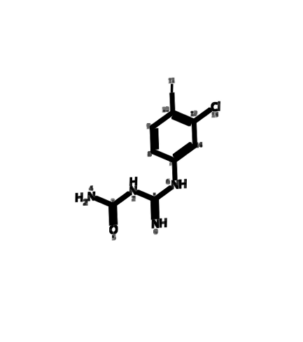 N=C(NC(N)=O)Nc1ccc(I)c(Cl)c1